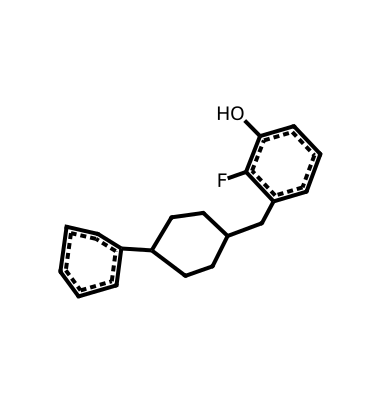 Oc1cccc(CC2CCC(c3ccccc3)CC2)c1F